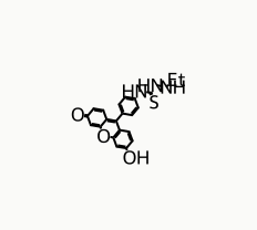 CCNNC(=S)Nc1ccc(-c2c3ccc(=O)cc-3oc3cc(O)ccc23)cc1